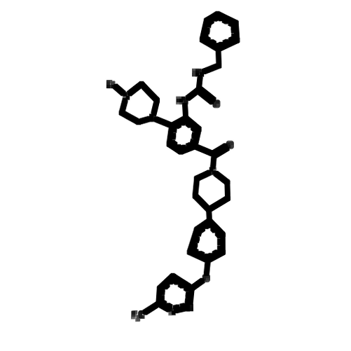 CCN1CCN(c2ccc(C(=O)N3CCC(c4ccc(Oc5ccc(C(F)(F)F)nn5)cc4)CC3)cc2NC(=O)NCc2ccccc2)CC1